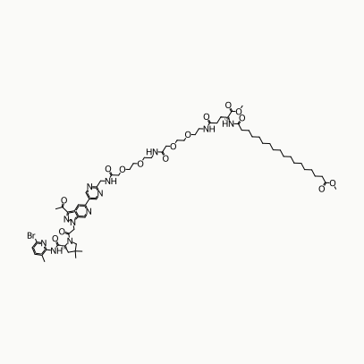 COC(=O)CCCCCCCCCCCCCCCCC(=O)N[C@@H](CCC(=O)NCCOCCOCC(=O)NCCOCCOCC(=O)NCc1ncc(-c2cc3c(C(C)=O)nn(CC(=O)N4CC(C)(C)C[C@H]4C(=O)Nc4nc(Br)ccc4C)c3cn2)cn1)C(=O)OC